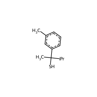 Cc1cccc(C(C)(S)C(C)C)c1